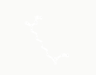 CCCCCCCCOC(=O)CCCCCCCC1SC1CCCCCCCC